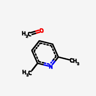 C=O.Cc1cccc(C)n1